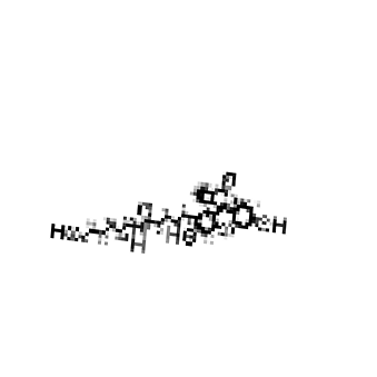 O=C(CCCCc1cc2c(cc1O)Oc1cc(O)ccc1C21OC(=O)c2ccccc21)NCCCCCCO